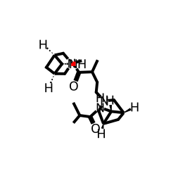 CC(C)C(=O)N[C@H]1[C@@H]2C[C@H]1CN(CCC(C)C(=O)N[C@@H]1[C@@H]3C[C@H]1CN(C)C3)C2